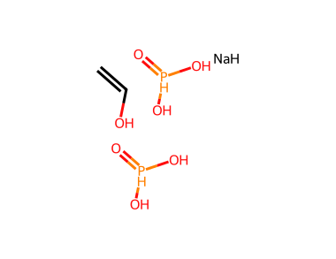 C=CO.O=[PH](O)O.O=[PH](O)O.[NaH]